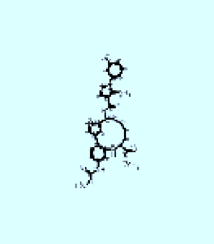 COC(=O)Nc1ccc2c(c1)NC(C(=O)OC)CCCC[C@H](NC(=O)c1cnn(-c3cccc(Cl)c3)c1N)c1nc-2c[nH]1